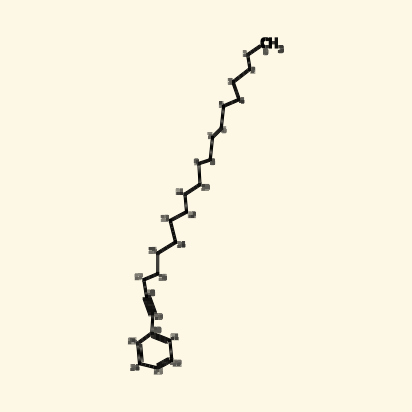 CCCCCCCCCCCCCCCCCCC#Cc1c[c]ccc1